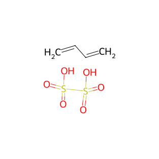 C=CC=C.O=S(=O)(O)S(=O)(=O)O